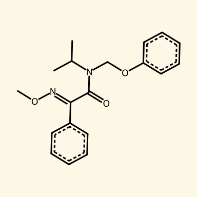 CON=C(C(=O)N(COc1ccccc1)C(C)C)c1ccccc1